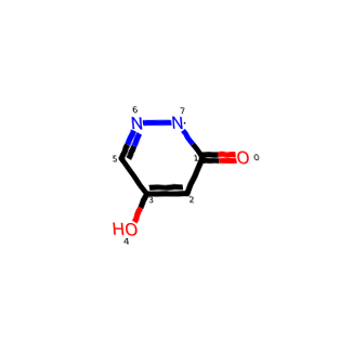 O=C1C=C(O)C=N[N]1